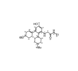 CCCCN1CCN(c2c(NCC(=O)NCC)cccc2C2=CCC(C(C)(C)C)CC2)CC1.Cl